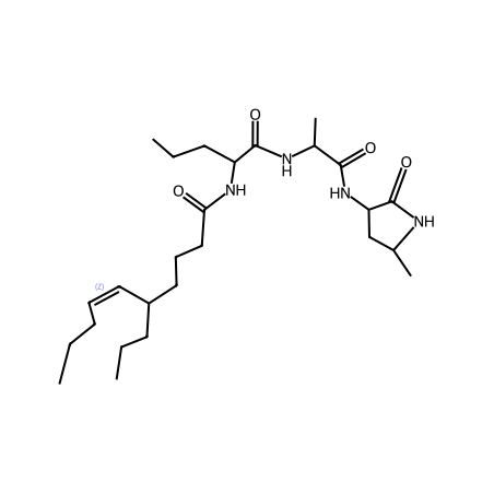 CCC/C=C\C(CCC)CCCC(=O)NC(CCC)C(=O)NC(C)C(=O)NC1CC(C)NC1=O